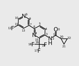 O=C(Nc1ccc(-c2cncc(F)c2)nc1C(F)(F)F)C1CC1